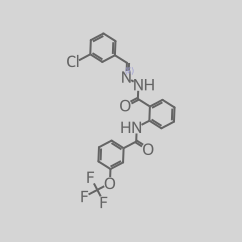 O=C(Nc1ccccc1C(=O)N/N=C/c1cccc(Cl)c1)c1cccc(OC(F)(F)F)c1